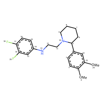 COc1ccc(C2CCCCN2CCNc2ccc(F)c(F)c2)cc1OC